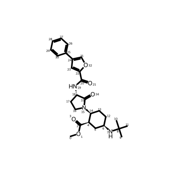 COC(=O)[C@@H]1C[C@H](NC(C)(C)C)CC[C@@H]1N1CC[C@H](NC(=O)c2cc(-c3ccccc3)co2)C1=O